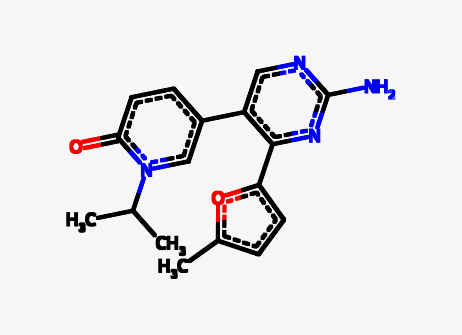 Cc1ccc(-c2nc(N)ncc2-c2ccc(=O)n(C(C)C)c2)o1